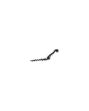 CCCCCCCCCCCCCCOC[C@@H]1CO[C@H](COCCCCCCC[n+]2ccsc2)C1